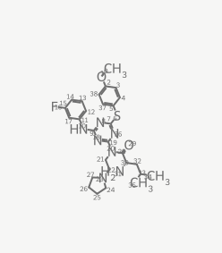 COc1ccc(Sc2nc(Nc3cccc(F)c3)nc(N(CCN3CCCC3)C(=O)[C@@H](N)CC(C)C)n2)cc1